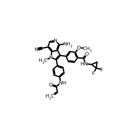 C=CC(=O)Nc1ccc(-c2c(-c3ccc(C(=O)NC4CC4(F)F)c(OC)c3)c3c(N)ncc(C#N)c3n2C)cc1